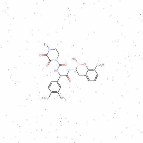 CCN1CCN(C(=O)NC(C(=O)N[C@H]2Cc3cccc(C(=O)O)c3OB2O)c2ccc(C(=O)O)c([N+](=O)[O-])c2)C(=O)C1=O